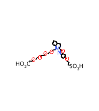 O=C(O)CCOCCOCCOCCOCC[n+]1c(-c2nc3ccc(OCCCS(=O)(=O)O)cc3o2)ccc2ccccc21